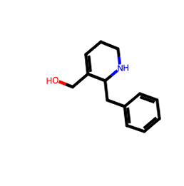 OCC1=CCCNC1Cc1ccccc1